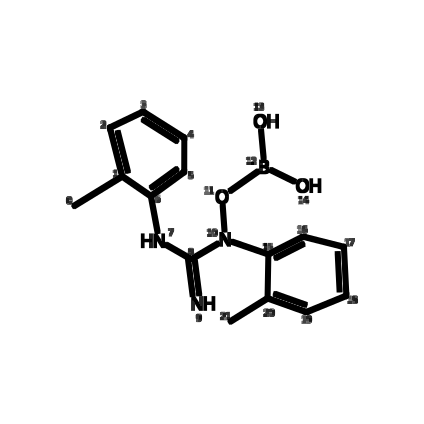 Cc1ccccc1NC(=N)N(OB(O)O)c1ccccc1C